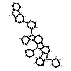 c1ccc(-n2c3c(ccc4c3c3ccccc3n4-c3cccc(-c4ccc5oc6ccccc6c5c4)c3)c3ccc4c(c5ccccc5n4-c4ccccn4)c32)cc1